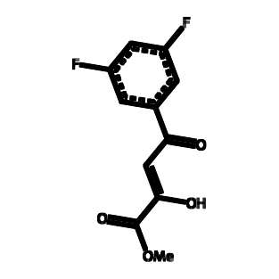 COC(=O)C(O)=CC(=O)c1cc(F)cc(F)c1